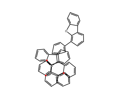 c1ccc(-c2ccccc2N(c2cccc(-c3cccc4c3oc3ccccc34)c2)c2ccccc2-c2ccccc2-n2c3ccccc3c3ccccc32)cc1